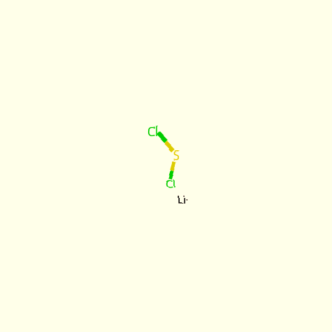 ClSCl.[Li]